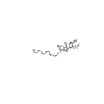 CC/C=C\C/C=C\C/C=C\C/C=C\C/C=C\C/C=C\CCC(=O)NC(CC(C)C)C(=O)Nc1ccc(O)c(C(=O)O)c1